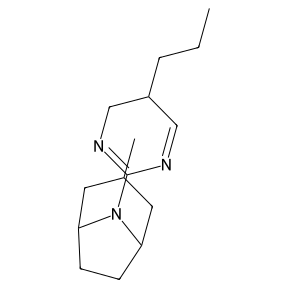 CCCC1C=NC(N2C3CCC2CC(C)C3)=NC1